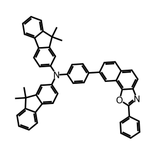 CC1(C)c2ccccc2-c2ccc(N(c3ccc(-c4ccc5ccc6nc(-c7ccccc7)oc6c5c4)cc3)c3ccc4c(c3)C(C)(C)c3ccccc3-4)cc21